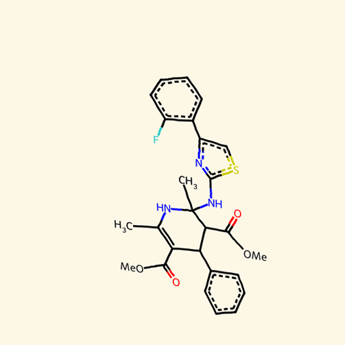 COC(=O)C1=C(C)NC(C)(Nc2nc(-c3ccccc3F)cs2)C(C(=O)OC)C1c1ccccc1